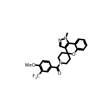 COc1ccc(C(=O)N2CCC3(CC2)Oc2ccccc2-c2c3cnn2C)cc1C(F)(F)F